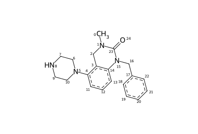 CN1Cc2c(N3CCNCC3)cccc2N(Cc2ccccc2)C1=O